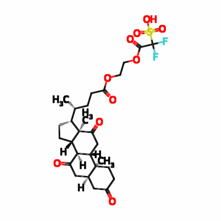 C[C@H](CCC(=O)OCCOC(=O)C(F)(F)S(=O)(=O)O)[C@H]1CC[C@H]2[C@@H]3C(=O)C[C@@H]4CC(=O)CC[C@]4(C)[C@H]3CC(=O)[C@]12C